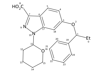 CCC(Oc1ccc2c(C(=O)O)nn(C3CCCCO3)c2c1)c1ccccc1